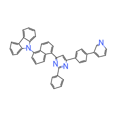 c1ccc(-c2nc(-c3ccc(-c4cccnc4)cc3)cc(-c3cccc4c(-n5c6ccccc6c6ccccc65)cccc34)n2)cc1